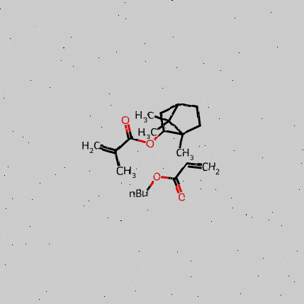 C=C(C)C(=O)OC1CC2CCC1(C)C2(C)C.C=CC(=O)OCCCC